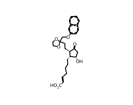 O=C(O)C=CCCCC[C@H]1[C@@H](O)CC(=O)[C@@H]1CCC1(COc2ccc3ccccc3c2)OCCO1